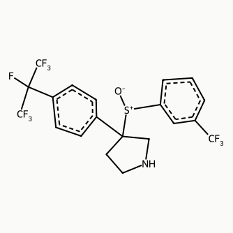 [O-][S+](c1cccc(C(F)(F)F)c1)C1(c2ccc(C(F)(C(F)(F)F)C(F)(F)F)cc2)CCNC1